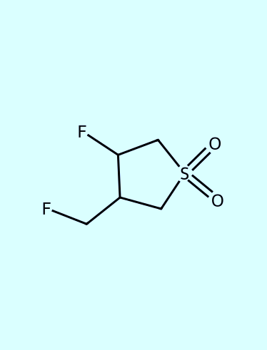 O=S1(=O)CC(F)C(CF)C1